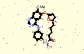 COc1cc2ncnc(Nc3ccc(F)c(Cl)c3)c2cc1OC1=CCC(CCCCC(=O)NO)O1